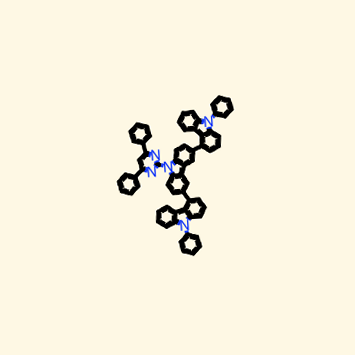 c1ccc(-c2cc(-c3ccccc3)nc(-n3c4ccc(-c5cccc6c5c5ccccc5n6-c5ccccc5)cc4c4cc(-c5cccc6c5c5ccccc5n6-c5ccccc5)ccc43)n2)cc1